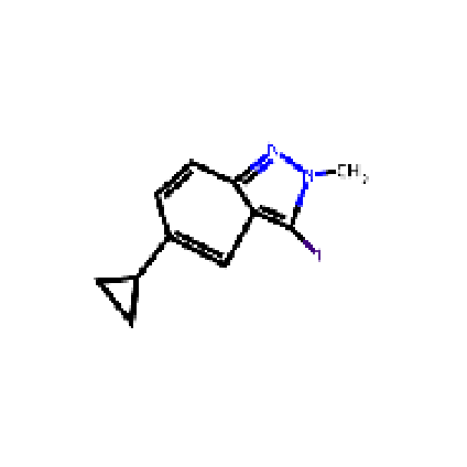 Cn1nc2ccc(C3CC3)cc2c1I